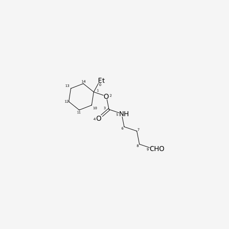 CCC1(OC(=O)NCCCC=O)CCCCC1